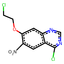 O=[N+]([O-])c1cc2c(Cl)ncnc2cc1OCCCl